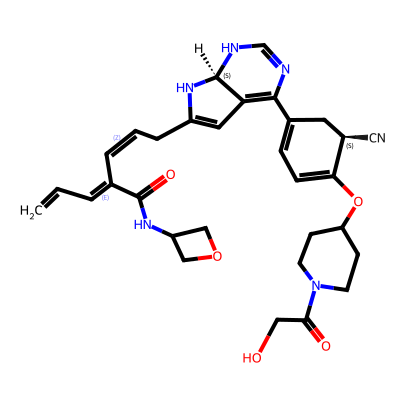 C=C/C=C(\C=C/CC1=CC2=C(C3=CC=C(OC4CCN(C(=O)CO)CC4)[C@H](C#N)C3)N=CN[C@@H]2N1)C(=O)NC1COC1